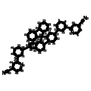 N#Cc1ccnc(-c2cccc(-c3ccc4c(c3)C3(c5ccccc5-c5ccccc53)c3c-4ccc4cc(-c5cccc(-c6cc(C#N)ccn6)c5)ccc34)c2)c1